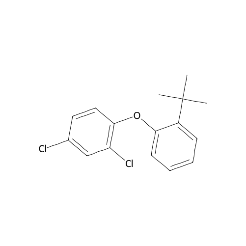 CC(C)(C)c1ccccc1Oc1ccc(Cl)cc1Cl